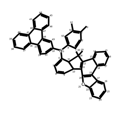 Cc1ccc(N(C2=CC=CC3c4c(c5ccccc5c5c4oc4ccccc45)C(C)(C)C23)c2ccc3c4ccccc4c4ccccc4c3c2)cc1C